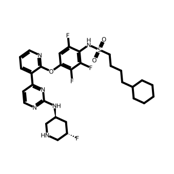 O=S(=O)(CCCCC1CCCCC1)Nc1c(F)cc(Oc2ncccc2-c2ccnc(N[C@@H]3CNC[C@@H](F)C3)n2)c(F)c1F